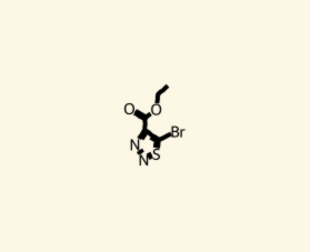 CCOC(=O)c1nnsc1Br